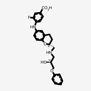 O=C(O)c1ccc(Nc2ccc3c(c2)CC[C@H](CNC[C@H](O)COc2ccccc2)O3)c(F)c1